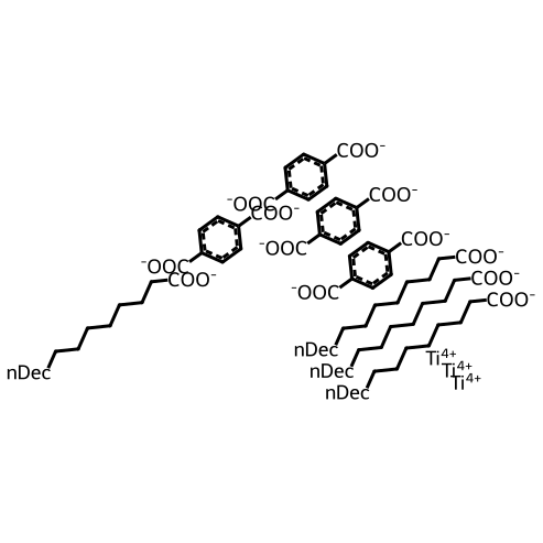 CCCCCCCCCCCCCCCCCC(=O)[O-].CCCCCCCCCCCCCCCCCC(=O)[O-].CCCCCCCCCCCCCCCCCC(=O)[O-].CCCCCCCCCCCCCCCCCC(=O)[O-].O=C([O-])c1ccc(C(=O)[O-])cc1.O=C([O-])c1ccc(C(=O)[O-])cc1.O=C([O-])c1ccc(C(=O)[O-])cc1.O=C([O-])c1ccc(C(=O)[O-])cc1.[Ti+4].[Ti+4].[Ti+4]